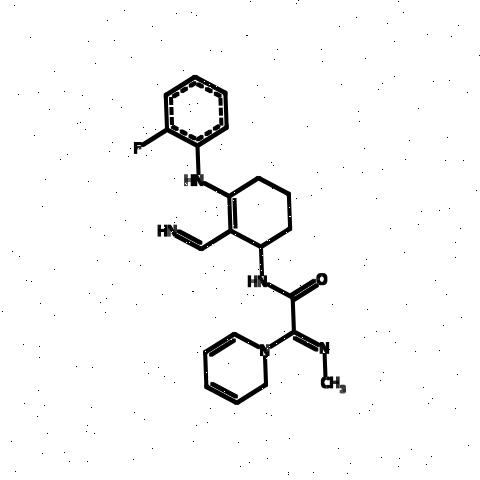 C/N=C(/C(=O)NC1CCCC(Nc2ccccc2F)=C1C=N)N1C=CC=CC1